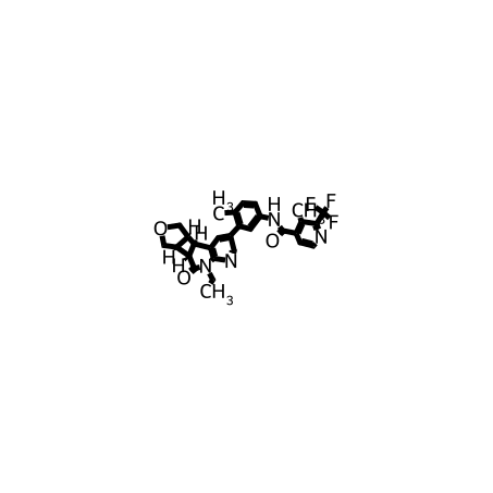 CCN1C(=O)[C@@H]2[C@H]3COC[C@H]3[C@@H]2c2cc(-c3cc(NC(=O)c4ccnc(C(F)(F)F)c4C)ccc3C)cnc21